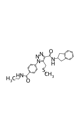 CCNC(=O)c1ccc(-n2nnc(C(=O)NC3Cc4ccccc4C3)c2CSC)cc1